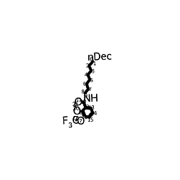 CCCCCCCCCCCCCCCCCCNC(=O)c1cccc(OC(F)(F)F)c1OI